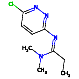 CCC(=Nc1ccc(Cl)nn1)N(C)C